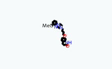 COc1cccc2c1nc1n2CCN(CCCCOc2ccc3c(c2)NC(=O)CC3)C1